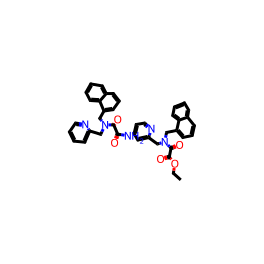 CCOC(=O)C(=O)N(Cc1ccccn1)Cc1cccc2ccccc12.NC(=O)C(=O)N(Cc1ccccn1)Cc1cccc2ccccc12